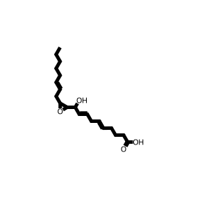 CCCCCC=CCC1OC1C(O)C=CCC=CCCCC(=O)O